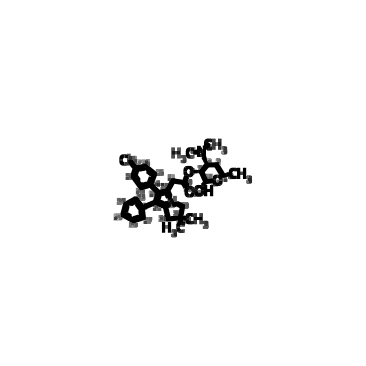 C[C@@H]1C[C@H](N(C)C)[C@@H](OC(=O)Cc2c(-c3ccc(Cl)cc3)c(-c3ccccc3)c3n2CC(C)(C)C3)[C@H](O)O1